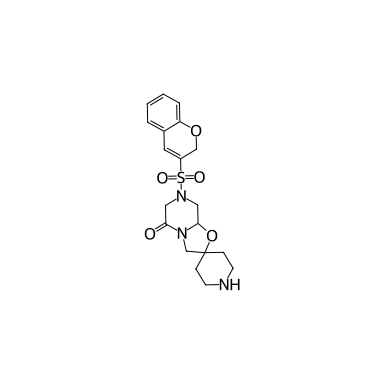 O=C1CN(S(=O)(=O)C2=Cc3ccccc3OC2)CC2OC3(CCNCC3)CN12